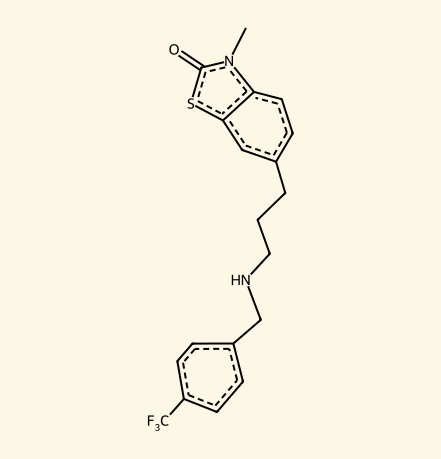 Cn1c(=O)sc2cc(CCCNCc3ccc(C(F)(F)F)cc3)ccc21